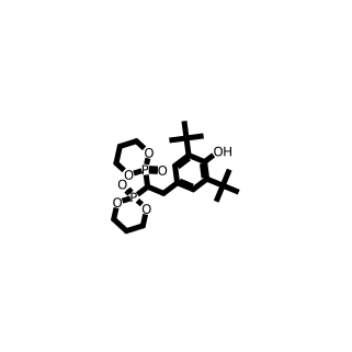 CC(C)(C)c1cc(CC(P2(=O)OCCCO2)P2(=O)OCCCO2)cc(C(C)(C)C)c1O